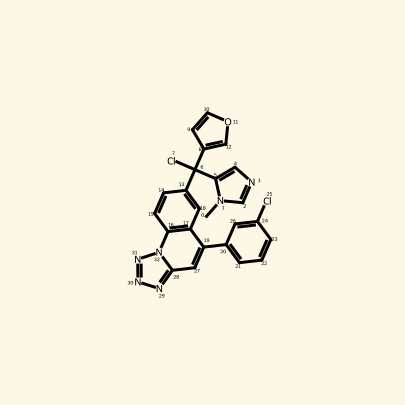 Cn1cncc1C(Cl)(c1ccoc1)c1ccc2c(c1)c(-c1cccc(Cl)c1)cc1nnnn12